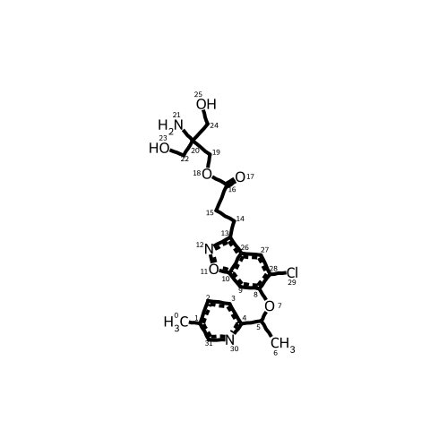 Cc1ccc(C(C)Oc2cc3onc(CCC(=O)OCC(N)(CO)CO)c3cc2Cl)nc1